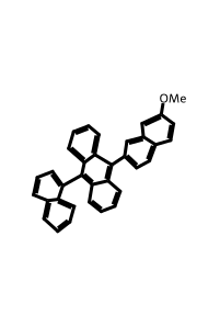 COc1ccc2ccc(-c3c4ccccc4c(-c4cccc5ccccc45)c4ccccc34)cc2c1